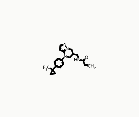 C=CC(=O)NCC1CN(c2ccc(C3(C(F)(F)F)CC3)cc2)c2ccnn2C1